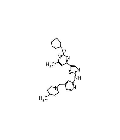 Cc1cc(-c2cnc(Nc3cc(CN4CCC(C)CC4)ccn3)s2)nc(OC2CCCCC2)n1